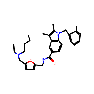 CCCCN(CC)Cc1ccc(CNC(=O)c2ccc3c(c2)c(C)c(C)n3Cc2ccccc2C)o1